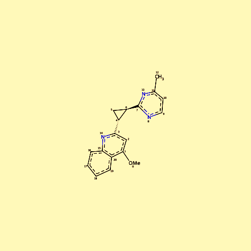 COc1cc([C@@H]2C[C@H]2c2nccc(C)n2)nc2ccccc12